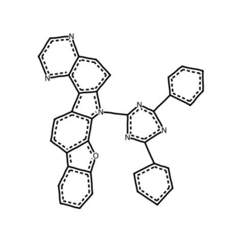 c1ccc(-c2nc(-c3ccccc3)nc(-n3c4ccc5nccnc5c4c4ccc5c6ccccc6oc5c43)n2)cc1